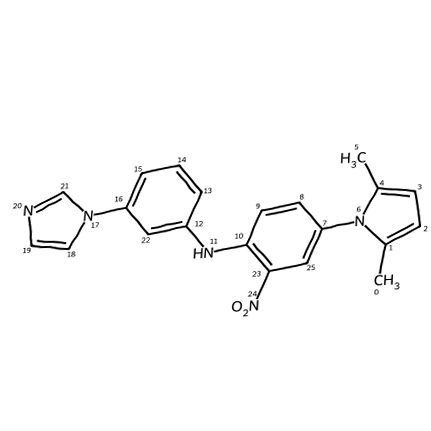 Cc1ccc(C)n1-c1ccc(Nc2cccc(-n3ccnc3)c2)c([N+](=O)[O-])c1